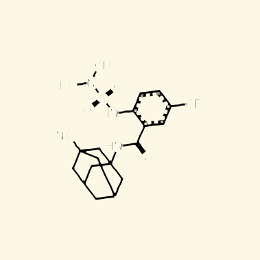 CN(C)S(=O)(=O)Nc1ccc(C(F)(F)F)cc1C(=O)NC12CC3CC(CC(C#N)(C3)C1)C2